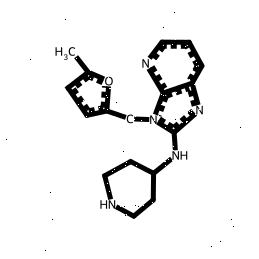 Cc1ccc(Cn2c(NC3CCNCC3)nc3cccnc32)o1